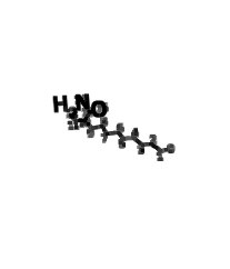 CCCCCCCCCCC(CC)C(N)=O